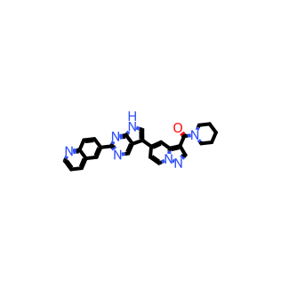 O=C(c1cnn2ccc(-c3c[nH]c4nc(-c5ccc6ncccc6c5)ncc34)cc12)N1CCCCC1